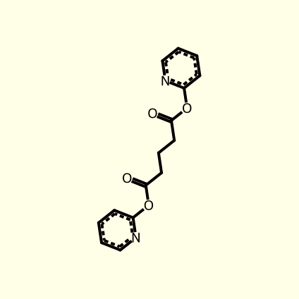 O=C(CCCC(=O)Oc1ccccn1)Oc1ccccn1